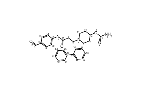 NC(=O)OC1CCN(CCC(=O)Nc2ccc(C=O)cc2)CC1.c1ccc(-c2ccccc2)cc1